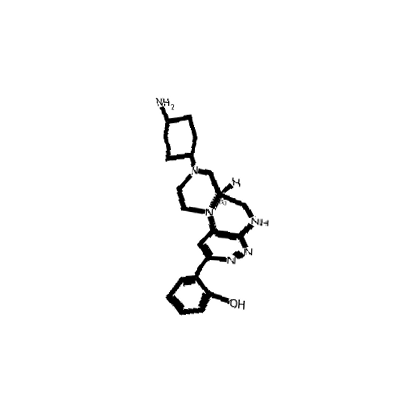 NC1CCC(N2CCN3c4cc(-c5ccccc5O)nnc4NC[C@H]3C2)CC1